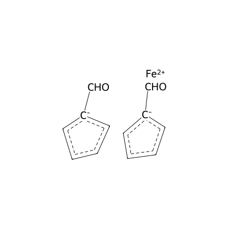 O=C[c-]1cccc1.O=C[c-]1cccc1.[Fe+2]